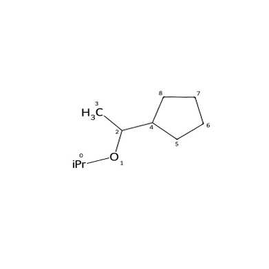 CC(C)OC(C)C1CCCC1